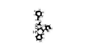 O=C(N[C@@H]1C(=O)Nc2ccccc2S[C@@H]1c1cccs1)OCc1ccccc1